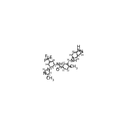 Cc1cn(-c2cc(NC(=O)c3ccc(C)c(CNc4ccc5[nH]ncc5c4)c3)cc(C(F)(F)F)c2)cn1